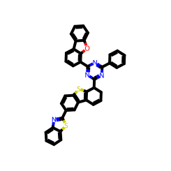 C1=Cc2c(sc3ccc(-c4nc5ccccc5s4)cc23)C(c2nc(-c3ccccc3)nc(-c3cccc4c3oc3ccccc34)n2)C1